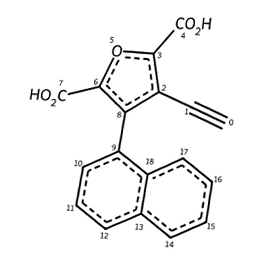 C#Cc1c(C(=O)O)oc(C(=O)O)c1-c1cccc2ccccc12